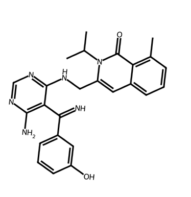 Cc1cccc2cc(CNc3ncnc(N)c3C(=N)c3cccc(O)c3)n(C(C)C)c(=O)c12